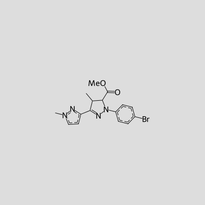 COC(=O)C1C(C)C(c2ccn(C)n2)=NN1c1ccc(Br)cc1